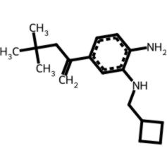 C=C(CC(C)(C)C)c1ccc(N)c(NCC2CCC2)c1